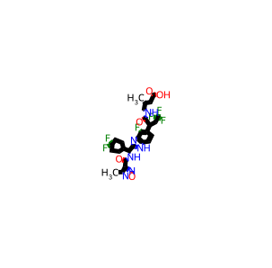 Cc1nonc1C(=O)N[C@H](c1nc2c(F)c(C(CC(F)(F)F)C(=O)NCC(C)CC(=O)O)ccc2[nH]1)C1CCC(F)(F)CC1